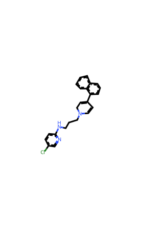 Clc1ccc(NCCCN2C=CC(c3cccc4ccccc34)=CC2)nc1